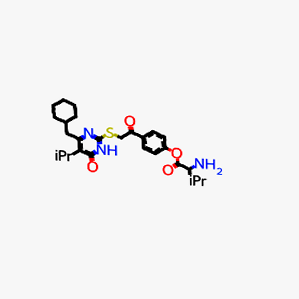 CC(C)c1c(CC2CCCCC2)nc(SCC(=O)c2ccc(OC(=O)C(N)C(C)C)cc2)[nH]c1=O